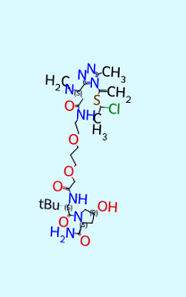 C=N[C@@H](CC(=O)NCCOCCCOCC(=O)N[C@H](C(=O)N1C[C@H](O)C[C@H]1C(N)=O)C(C)(C)C)c1nnc(C)n1C(=C)SC(C)Cl